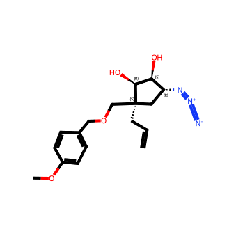 C=CC[C@@]1(COCc2ccc(OC)cc2)C[C@@H](N=[N+]=[N-])[C@H](O)[C@@H]1O